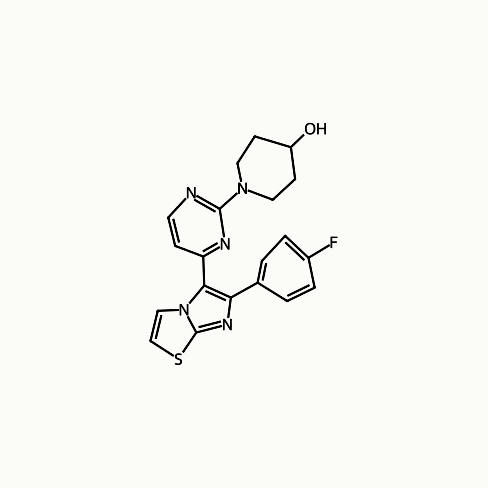 OC1CCN(c2nccc(-c3c(-c4ccc(F)cc4)nc4sccn34)n2)CC1